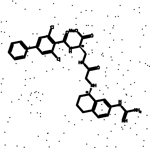 COC(=O)[C@H](CNC(=O)CN[C@H]1CCCc2ccc(NC(=N)N)cc21)NC(=O)c1c(Cl)cc(-c2ccccc2)cc1Cl